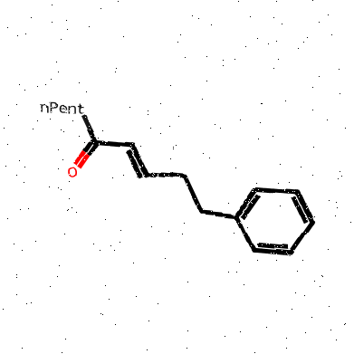 CCCCCC(=O)C=CCCc1ccccc1